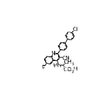 CC(Nc1c(C#N)c(-c2ccc(-c3ccc(Cl)cc3)cc2)nc2ccc(F)cc12)C(=O)O